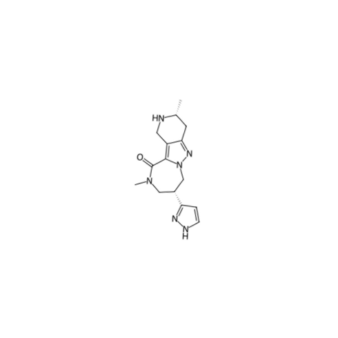 C[C@@H]1Cc2nn3c(c2CN1)C(=O)N(C)C[C@@H](c1cc[nH]n1)C3